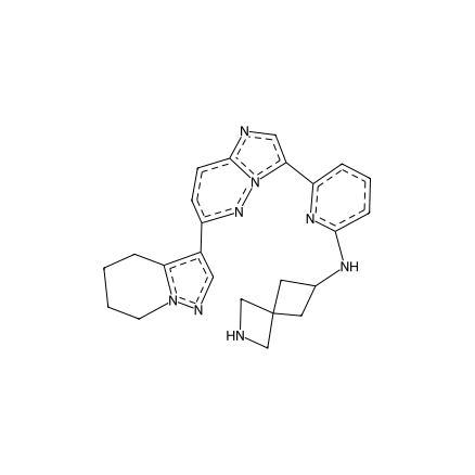 c1cc(NC2CC3(CNC3)C2)nc(-c2cnc3ccc(-c4cnn5c4CCCC5)nn23)c1